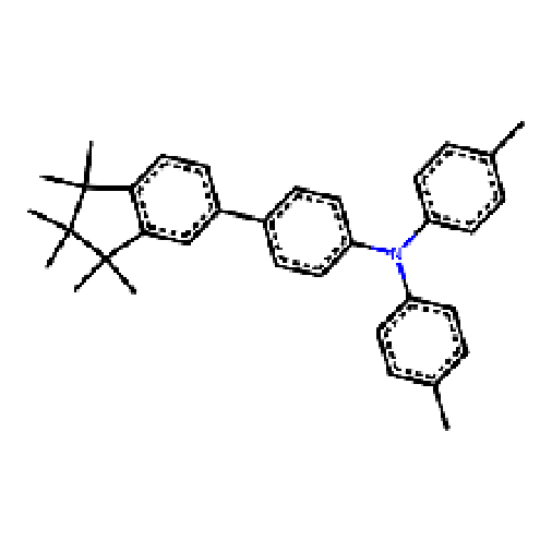 Cc1ccc(N(c2ccc(C)cc2)c2ccc(-c3ccc4c(c3)C(C)(C)C(C)(C)C4(C)C)cc2)cc1